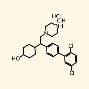 Cl.Cl.OC1CCC(C(CN2CCNCC2)c2ccc(-c3cc(Cl)ccc3Cl)cc2)CC1